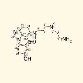 CN(CCCN)CCCNc1ccc2ncn3c4ccc(O)cc4c(=O)c1c23